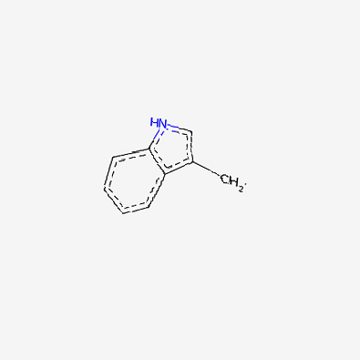 [CH2]c1c[nH]c2ccccc12